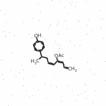 C=C/C=C(\C=C/CC(C)c1ccc(O)cc1)OC(C)=O